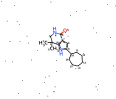 CC1(C)CNC(=O)c2cc(C3CCCCCC3)[nH]c21